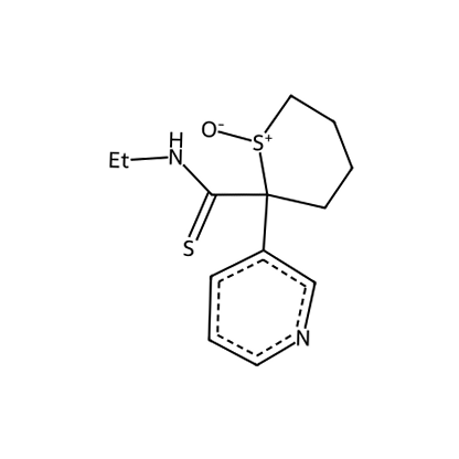 CCNC(=S)C1(c2cccnc2)CCCC[S+]1[O-]